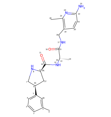 Cc1cccc([C@H]2CN[C@@H](C(=O)N[C@@H](C)C(=O)NCc3ccc(N)nc3C)C2)c1